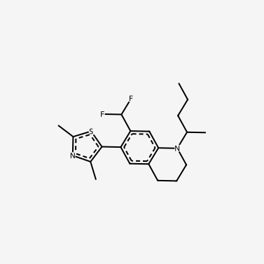 CCCC(C)N1CCCc2cc(-c3sc(C)nc3C)c(C(F)F)cc21